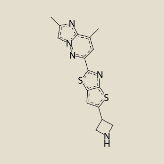 Cc1cn2nc(-c3nc4sc(C5CNC5)cc4s3)cc(C)c2n1